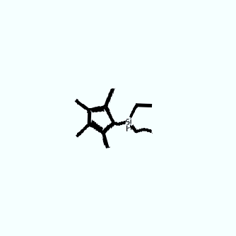 CC[SiH](CC)C1C(C)=C(C)C(C)=C1C